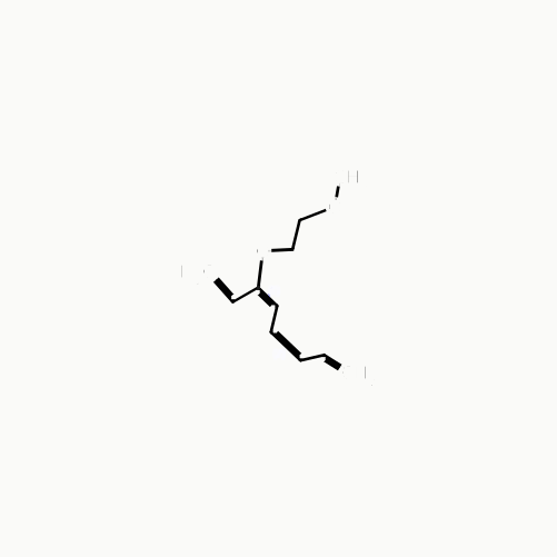 C=C/C=C\C=C(/C=C)OCCOC